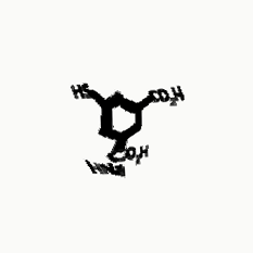 O=C(O)c1cc(S)cc(C(=O)O)c1.[NaH]